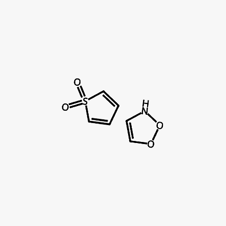 C1=COON1.O=S1(=O)C=CC=C1